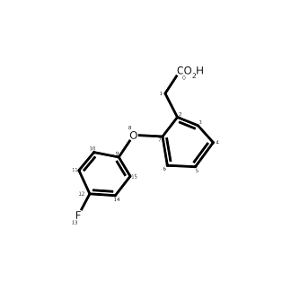 O=C(O)Cc1ccccc1Oc1ccc(F)cc1